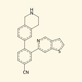 N#Cc1ccc(-c2ccc3c(c2)CCNC3)c(-c2cc3sccc3cn2)c1